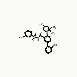 CC(C)COc1ccccc1-c1cnc(N2CC(C)CC2(C)C)c(C(=O)NS(=O)(=O)c2cccc(N)n2)c1